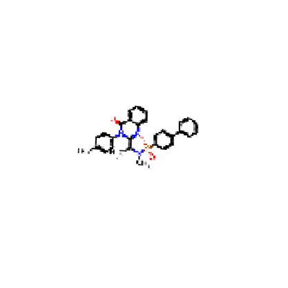 CC(c1nc2ccccc2c(=O)n1-c1ccc(C(C)(C)C)cc1)N(C)S(=O)(=O)c1ccc(-c2ccccc2)cc1